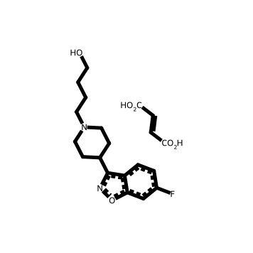 O=C(O)C=CC(=O)O.OCCCCN1CCC(c2noc3cc(F)ccc23)CC1